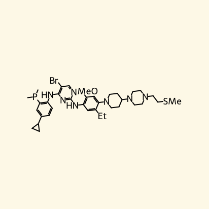 CCc1cc(Nc2ncc(Br)c(Nc3ccc(C4CC4)cc3P(C)C)n2)c(OC)cc1N1CCC(N2CCN(CCSC)CC2)CC1